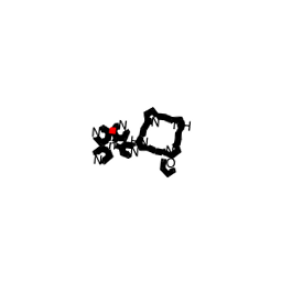 C1=Cc2cc3ccc(cc4nc(cc5ccc(cc1n2)[nH]5)C=C4)[nH]3.C1CCOC1.c1c[c]([Zn]([c]2ccncc2)([c]2ccncc2)[c]2ccncc2)ccn1